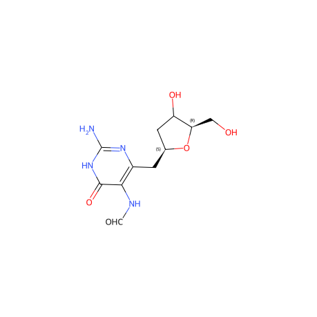 Nc1nc(C[C@H]2CC(O)[C@@H](CO)O2)c(NC=O)c(=O)[nH]1